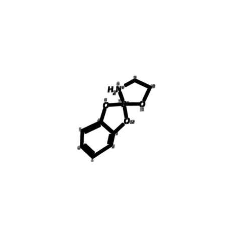 c1ccc2c(c1)O[B-]1([NH2+]CCO1)O2